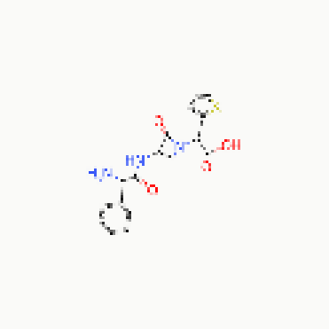 NC(C(=O)NC1CN(C(C(=O)O)c2cccs2)C1=O)c1ccccc1